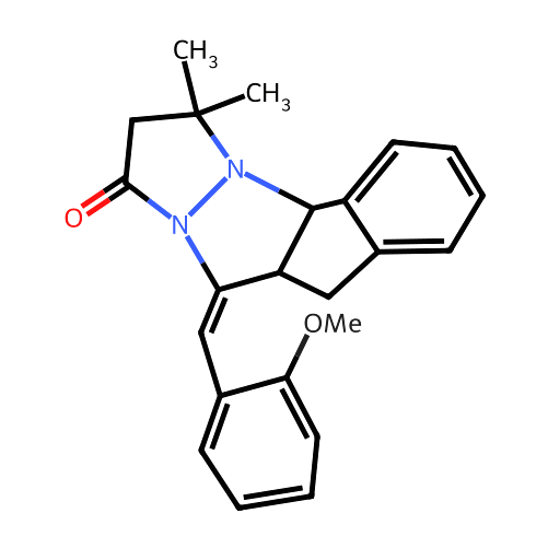 COc1ccccc1/C=C1\C2Cc3ccccc3C2N2N1C(=O)CC2(C)C